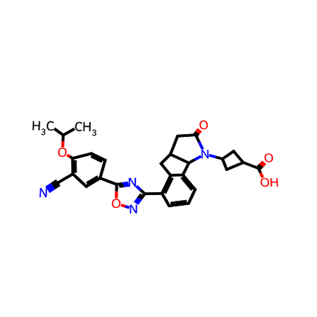 CC(C)Oc1ccc(-c2nc(-c3cccc4c3CC3CC(=O)N(C5CC(C(=O)O)C5)C43)no2)cc1C#N